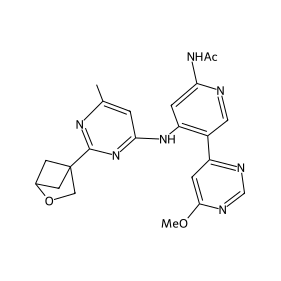 COc1cc(-c2cnc(NC(C)=O)cc2Nc2cc(C)nc(C34COC(C3)C4)n2)ncn1